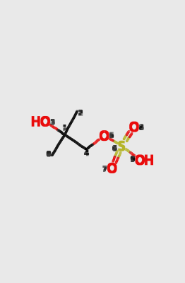 CC(C)(O)COS(=O)(=O)O